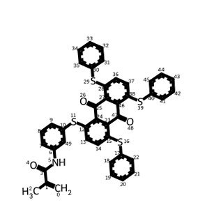 C=C(C)C(=O)Nc1cccc(Sc2ccc(Sc3ccccc3)c3c2C(=O)c2c(Sc4ccccc4)ccc(Sc4ccccc4)c2C3=O)c1